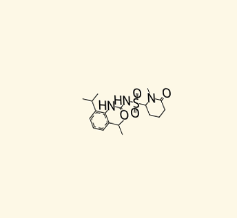 CC(C)c1cccc(C(C)C)c1NC(=O)NS(=O)(=O)C1CCCC(=O)N1C